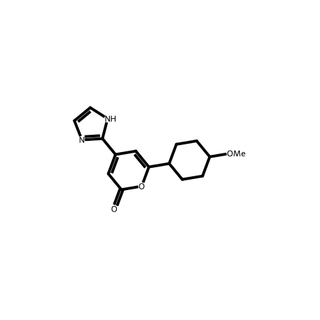 COC1CCC(c2cc(-c3ncc[nH]3)cc(=O)o2)CC1